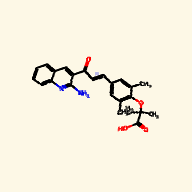 Cc1cc(/C=C/C(=O)c2cc3ccccc3nc2N)cc(C)c1OC(C)(C)C(=O)O